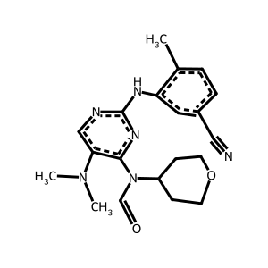 Cc1ccc(C#N)cc1Nc1ncc(N(C)C)c(N(C=O)C2CCOCC2)n1